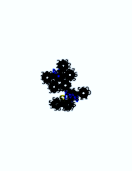 c1ccc(-c2cc(-c3ccc(-c4c(-c5ccccc5)c(-c5ccccc5)nc(-c5ccccc5)c4-c4ccccc4)cc3)nc(-c3cccc4c3sc3ccccc34)n2)cc1